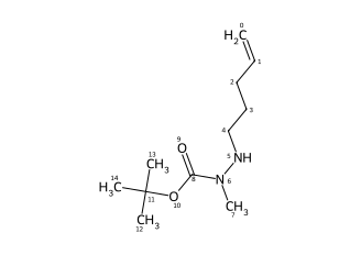 C=CCCCNN(C)C(=O)OC(C)(C)C